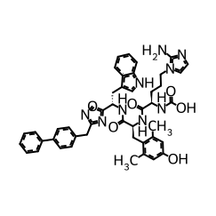 Cc1cc(O)cc(C)c1C[C@H](NC(=O)[C@@H](CCCn1ccnc1N)NC(=O)O)C(=O)N[C@@H](Cc1c[nH]c2ccccc12)c1nc(Cc2ccc(-c3ccccc3)cc2)no1